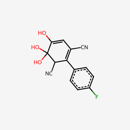 N#CC1=C(c2ccc(F)cc2)C(C#N)C(O)(O)C(O)=C1